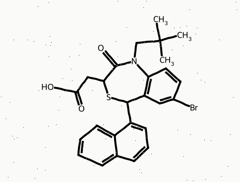 CC(C)(C)CN1C(=O)C(CC(=O)O)SC(c2cccc3ccccc23)c2cc(Br)ccc21